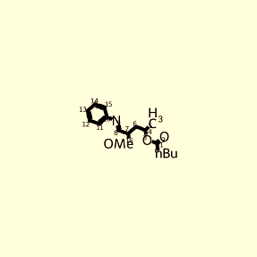 CCCCC(=O)OC(C)CC(C=Nc1ccccc1)OC